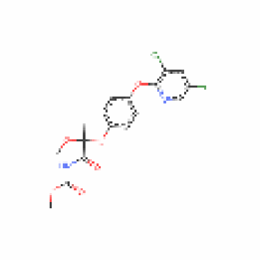 COC(=O)NC(=O)C(C)(OC)Oc1ccc(Oc2ncc(Cl)cc2Cl)cc1